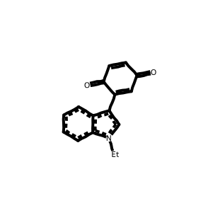 CCn1cc(C2=CC(=O)C=CC2=O)c2ccccc21